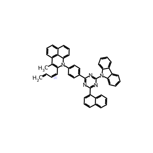 C=C/C=C\C1=C(C)c2cccc3cccc(c23)N1c1ccc(-c2nc(-c3cccc4ccccc34)nc(-n3c4ccccc4c4ccccc43)n2)cc1